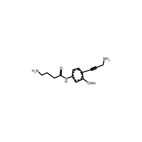 COc1cc(NC(=O)CCCN)ccc1C#CCN